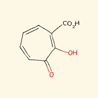 O=C(O)c1ccccc(=O)c1O